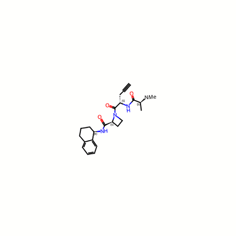 C#CC[C@H](NC(=O)[C@H](C)NC)C(=O)N1CC[C@H]1C(=O)N[C@@H]1CCCc2ccccc21